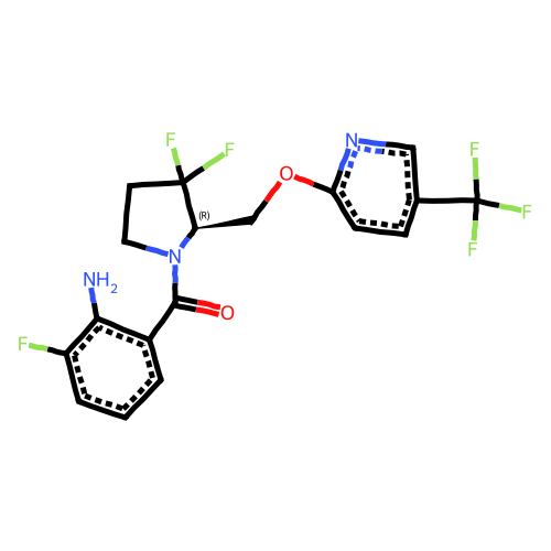 Nc1c(F)cccc1C(=O)N1CCC(F)(F)[C@H]1COc1ccc(C(F)(F)F)cn1